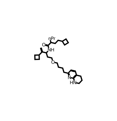 C=C(C1CCC1)C(CCOCCCCc1ccc2c(n1)NCCC2)NC(=O)C(CCC)CCC1CCC1